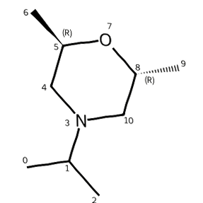 CC(C)N1C[C@@H](C)O[C@H](C)C1